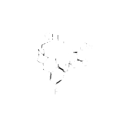 CCCN1CC(C(F)c2cc(F)cc(F)c2F)C1.O=C(O)C(=O)O